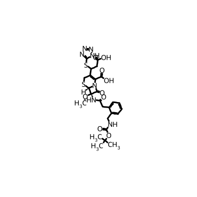 CO[C@@]1(NC(=O)Cc2ccccc2CNC(=O)OC(C)(C)C)C(=O)N2C(C(=O)O)=C(C(CC(=O)O)Sc3nnn[nH]3)CS[C@H]21